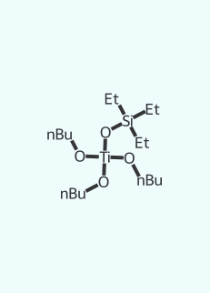 CCCC[O][Ti]([O]CCCC)([O]CCCC)[O][Si](CC)(CC)CC